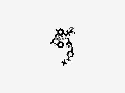 Cc1ccc(C(OCc2cn(CC3CCN(C(=O)OC(C)(C)C)CC3)nn2)C(C)(C)C(=O)O)cc1CN1CC(C)Oc2ccccc2S1(O)O